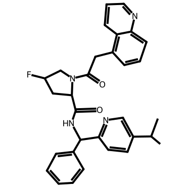 CC(C)c1ccc(C(NC(=O)C2CC(F)CN2C(=O)Cc2cccc3ncccc23)c2ccccc2)nc1